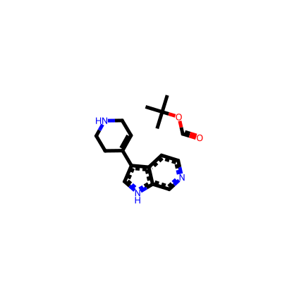 C1=C(c2c[nH]c3cnccc23)CCNC1.CC(C)(C)OC=O